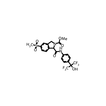 COC(=O)N1Cc2cc(S(C)(=O)=O)ccc2C1C(=O)Nc1ccc(C(O)(C(F)(F)F)C(F)(F)F)cc1